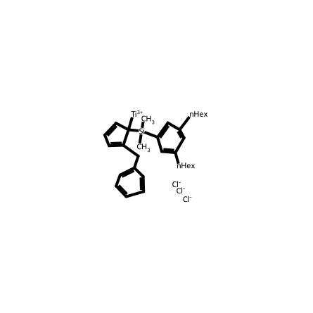 CCCCCCc1cc(CCCCCC)cc([Si](C)(C)[C]2([Ti+3])C=CC=C2Cc2ccccc2)c1.[Cl-].[Cl-].[Cl-]